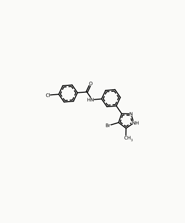 Cc1[nH]nc(-c2cccc(NC(=O)c3ccc(Cl)cc3)c2)c1Br